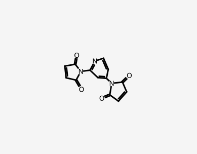 O=C1C=CC(=O)N1c1ccnc(N2C(=O)C=CC2=O)c1